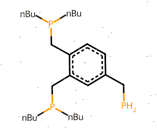 CCCCP(CCCC)Cc1ccc(CP)cc1CP(CCCC)CCCC